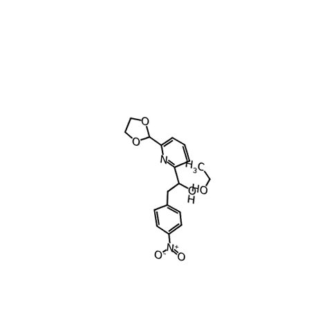 CCO.O=[N+]([O-])c1ccc(CC(O)c2cccc(C3OCCO3)n2)cc1